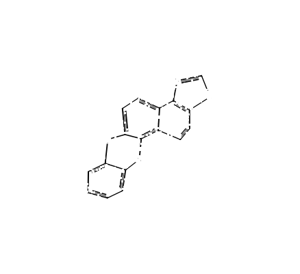 c1ccc2c(c1)Nc1c(ccc3c1ccc1scnc13)S2